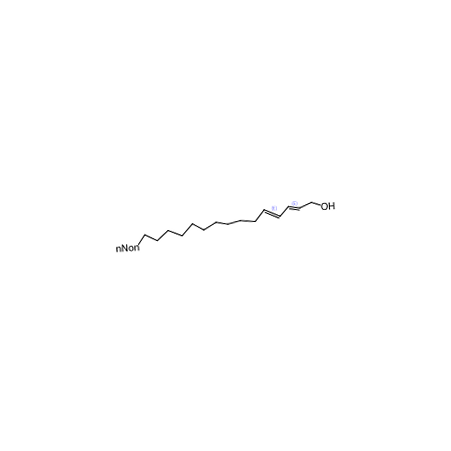 CCCCCCCCCCCCCCCCCCC/C=C/C=C/CO